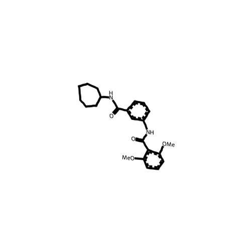 COc1cccc(OC)c1C(=O)Nc1cccc(C(=O)NC2CCCCCC2)c1